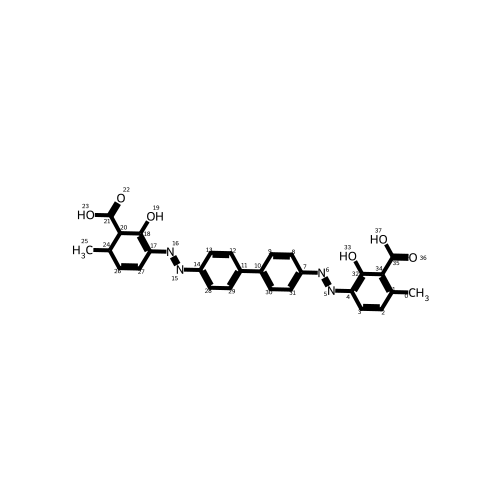 Cc1ccc(N=Nc2ccc(-c3ccc(N=NC4=C(O)C(C(=O)O)C(C)C=C4)cc3)cc2)c(O)c1C(=O)O